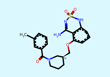 Cc1cccc(C(=O)N2CCC[C@H](COc3cccc4c3C(N)=NS(=O)(=O)N4)C2)c1